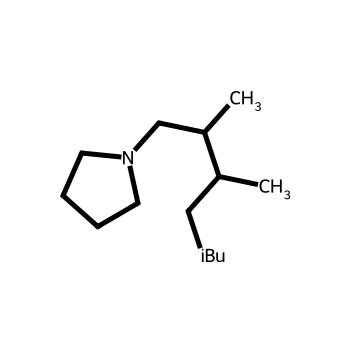 CCC(C)CC(C)C(C)CN1CCCC1